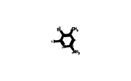 CCc1c(C)cc(N)nc1I